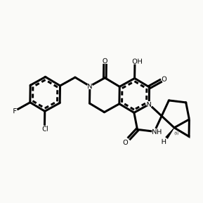 O=C1NC2(CCC3C[C@@H]32)n2c1c1c(c(O)c2=O)C(=O)N(Cc2ccc(F)c(Cl)c2)CC1